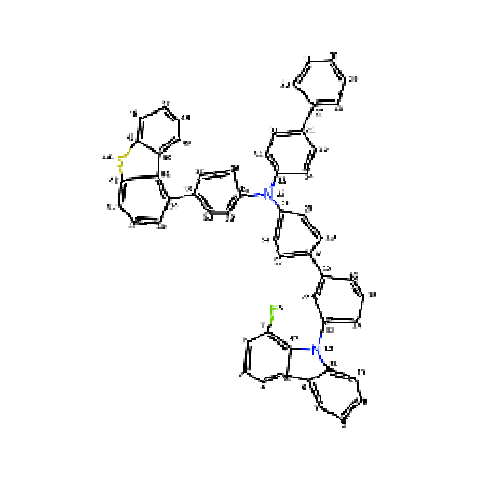 Fc1cccc2c3ccccc3n(-c3cccc(-c4ccc(N(c5ccc(-c6ccccc6)cc5)c5ccc(-c6cccc7sc8ccccc8c67)cc5)cc4)c3)c12